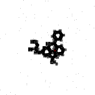 CC[C@H](CO)Nc1nc(NC(c2ccccc2)c2ccccc2)c2ncn(C)c2n1